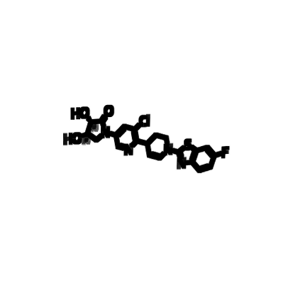 O=C1[C@H](O)[C@H](O)CN1c1cnc(C2C=CN(c3nc4ccc(F)cc4s3)CC2)c(Cl)c1